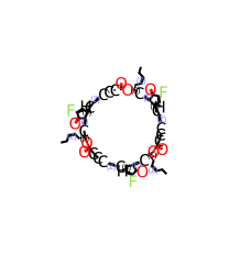 CC/C=C\C[C@H]1C/C=C2/C(=O)C(F)=C[C@@H]2C/C=C\CCCC(=O)O[C@@H](C/C=C\CC)C/C=C2/C(=O)C(F)=C[C@@H]2C/C=C\CCCC(=O)O[C@@H](C/C=C\CC)C/C=C2/C(=O)C(F)=C[C@@H]2C/C=C\CCCC(=O)O1